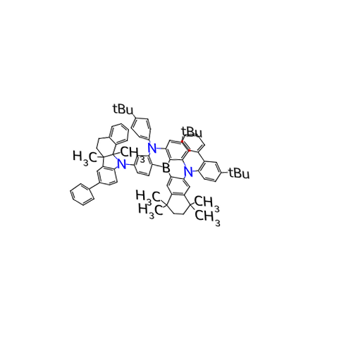 CC(C)(C)c1ccc(N2c3cc(N4c5ccc(-c6ccccc6)cc5C5(C)CCc6ccccc6C45C)ccc3B3c4cc5c(cc4N(c4ccc(C(C)(C)C)cc4-c4ccccc4)c4cc(C(C)(C)C)cc2c43)C(C)(C)CCC5(C)C)cc1